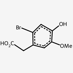 COc1cc(CC(=O)O)c(Br)cc1O